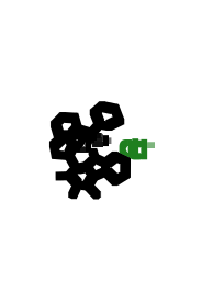 Cc1c(C)c(C2=CC=CC2)c2c(c1C)-c1ccccc1[CH]2[Zr+2]=[C](c1ccccc1)c1ccccc1.[Cl-].[Cl-]